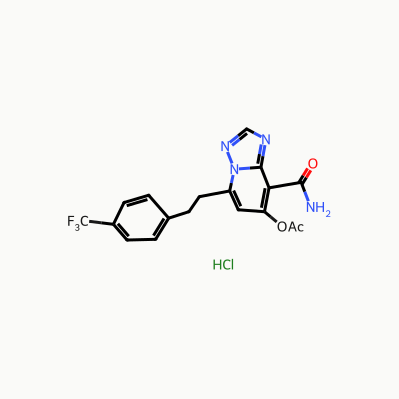 CC(=O)Oc1cc(CCc2ccc(C(F)(F)F)cc2)n2ncnc2c1C(N)=O.Cl